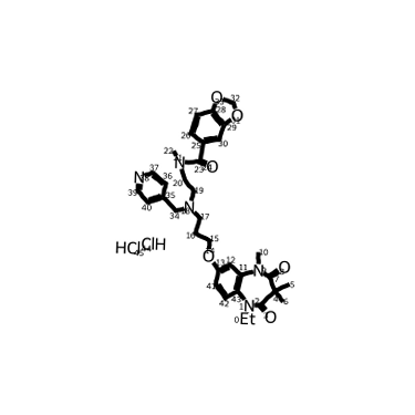 CCN1C(=O)C(C)(C)C(=O)N(C)c2cc(OCCCN(CCN(C)C(=O)c3ccc4c(c3)OCO4)Cc3ccncc3)ccc21.Cl.Cl